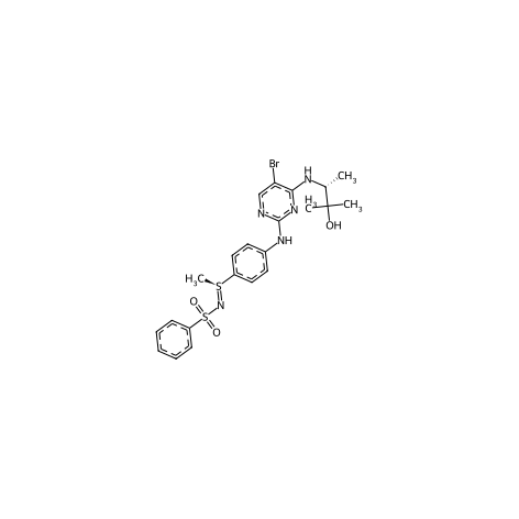 C[C@@H](Nc1nc(Nc2ccc([S@](C)=NS(=O)(=O)c3ccccc3)cc2)ncc1Br)C(C)(C)O